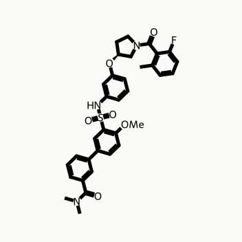 COc1ccc(-c2cccc(C(=O)N(C)C)c2)cc1S(=O)(=O)Nc1cccc(O[C@H]2CCN(C(=O)c3c(C)cccc3F)C2)c1